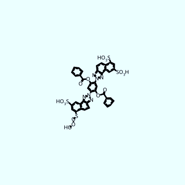 O=C(Oc1cc(-n2nc3ccc4c(S(=O)(=O)O)cc(S(=O)(=O)O)cc4c3n2)c(OC(=O)c2ccccc2)cc1-n1nc2ccc3c(SOOO)cc(S(=O)(=O)O)cc3c2n1)c1ccccc1